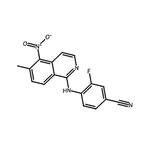 Cc1ccc2c(Nc3ccc(C#N)cc3F)nccc2c1[N+](=O)[O-]